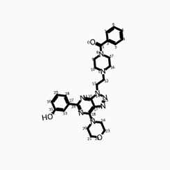 O=C(c1ccccc1)N1CCN(CCn2nnc3c(N4CCOCC4)nc(-c4cccc(O)c4)nc32)CC1